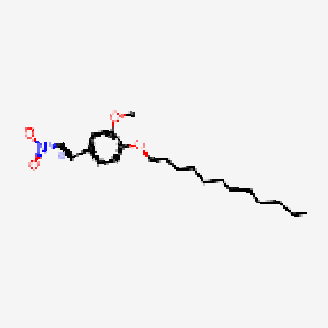 CCCCCCCCCCCCOc1ccc(/C=C/[N+](=O)[O-])cc1OC